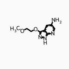 COCCOc1n[nH]c2ncc(N)cc12